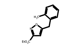 CCOC(=O)c1cc(Cc2ccccc2C)on1